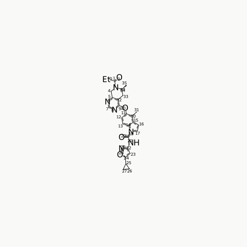 CCC(=O)N1Cc2ncnc(Oc3ccc4c(ccn4C(=O)Nc4cc(C5CC5)on4)c3C)c2C[C@@H]1C